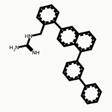 N=C(N)NCc1ccccc1-c1ccc2c(-c3cccc(-c4ccccc4)c3)cccc2c1